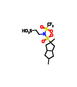 CC1CC2CC(C)(S(=O)(=O)N(CCS(=O)(=O)O)S(=O)(=O)C(F)(F)F)CC2C1